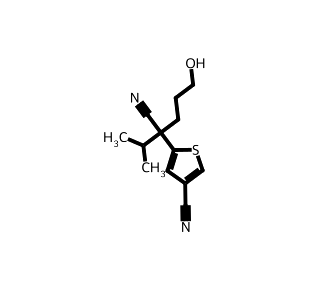 CC(C)C(C#N)(CCCO)c1cc(C#N)cs1